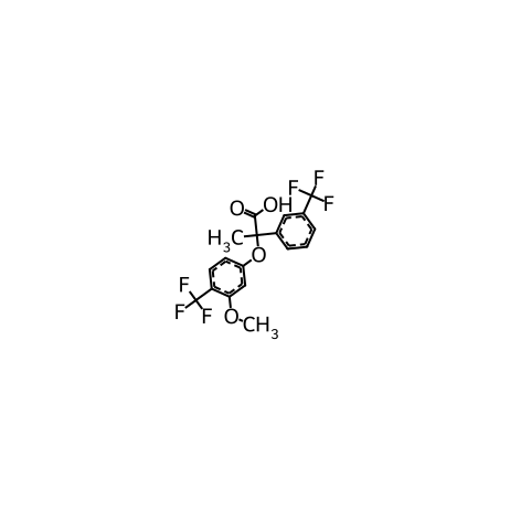 COc1cc(OC(C)(C(=O)O)c2cccc(C(F)(F)F)c2)ccc1C(F)(F)F